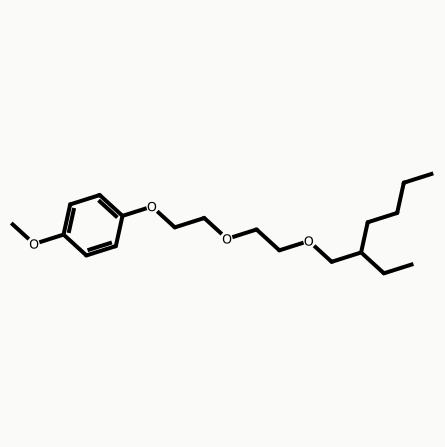 CCCCC(CC)COCCOCCOc1ccc(OC)cc1